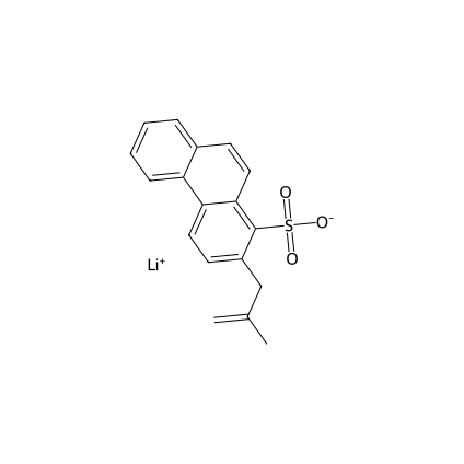 C=C(C)Cc1ccc2c(ccc3ccccc32)c1S(=O)(=O)[O-].[Li+]